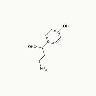 NCCC(C=O)c1ccc(O)cc1